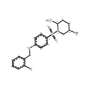 CCc1ccccc1COc1ccc(S(=O)(=O)N2CC(O)CCC2C(=O)O)cc1